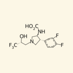 O=C(O)N[C@@H]1CN(C[C@@H](O)C(F)(F)F)C[C@H]1c1ccc(F)c(F)c1